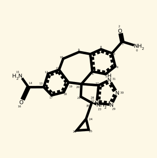 NC(=O)c1ccc2c(c1)CCc1cc(C(N)=O)ccc1C2(C[C@@H](N)C1CC1)c1nnn[nH]1